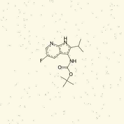 CC(C)c1[nH]c2ncc(F)cc2c1NC(=O)OC(C)(C)C